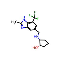 Cc1nc2cc(CN[C@H]3CCC[C@@H]3O)cc(C(F)(F)F)c2[nH]1